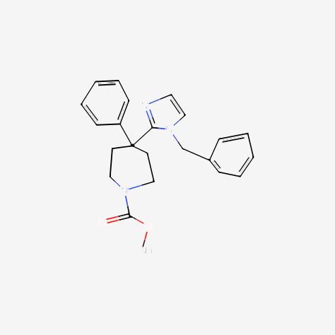 CCCOC(=O)N1CCC(c2ccccc2)(c2nccn2Cc2ccccc2)CC1